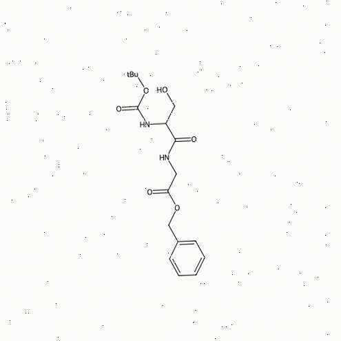 CC(C)(C)OC(=O)NC(CO)C(=O)NCC(=O)OCc1ccccc1